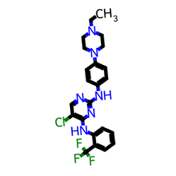 CCN1CCN(c2ccc(Nc3ncc(Cl)c(Nc4ccccc4C(F)(F)F)n3)cc2)CC1